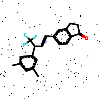 Cc1cc(C)cc(C(/C=C/c2ccc3c(c2)CCC3=O)C(F)(F)F)c1